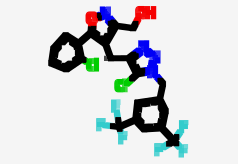 OCc1noc(-c2ccccc2Cl)c1[CH]c1nnn(Cc2cc(C(F)(F)F)cc(C(F)(F)F)c2)c1Cl